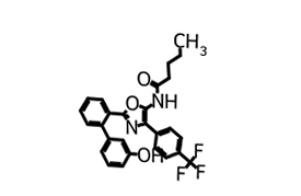 CCCCC(=O)Nc1oc(-c2ccccc2-c2cccc(O)c2)nc1-c1ccc(C(F)(F)F)cc1